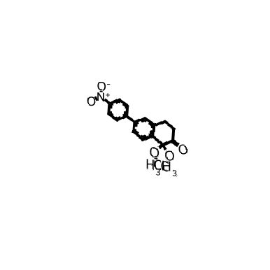 COC1(OC)C(=O)CCc2cc(-c3ccc([N+](=O)[O-])cc3)ccc21